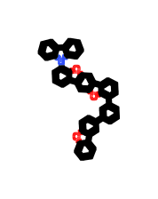 c1cc(-c2ccc3oc4ccccc4c3c2)cc(-c2cccc3c2oc2cc4c(cc23)oc2c(-n3c5ccccc5c5ccccc53)cccc24)c1